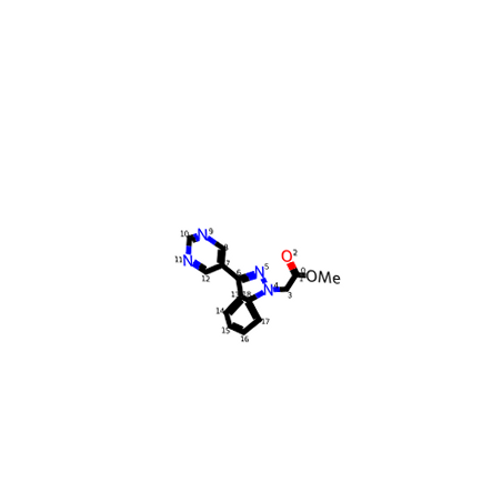 COC(=O)Cn1nc(-c2cncnc2)c2ccccc21